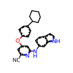 N#Cc1cc(Oc2ccc(C3CCCCC3)cc2)cc(Nc2ccc3cc[nH]c3c2)n1